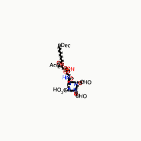 CCCCCCCCCCCCCCCCCCC(=O)O[C@@H](COC(C)=O)COP(=O)(O)OCCNC(=O)CN1CCN(COC=O)CCN(COC=O)CCN(CC(=O)O)CC1